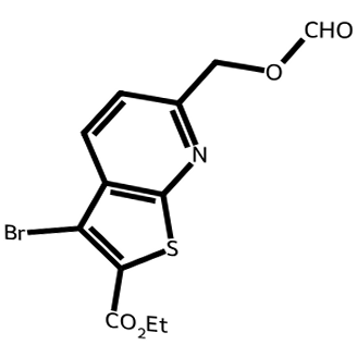 CCOC(=O)c1sc2nc(COC=O)ccc2c1Br